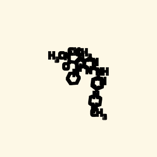 Cc1c(C(=O)N(C)C)n(N2CCCCC2)c2nc(Nc3ccc(N4CCN(C)CC4)cn3)ncc12